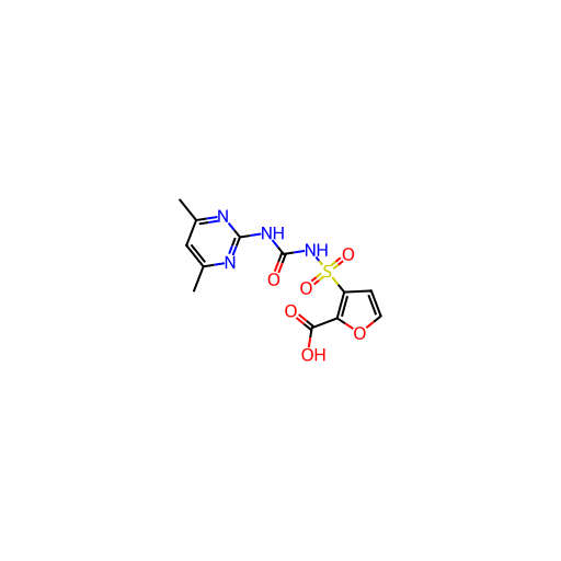 Cc1cc(C)nc(NC(=O)NS(=O)(=O)c2ccoc2C(=O)O)n1